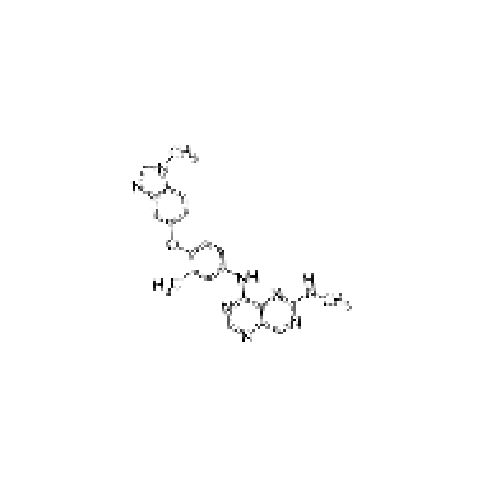 CNc1ncc2ncnc(Nc3ccc(Oc4ccc5c(c4)ncn5C)c(C)c3)c2n1